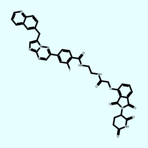 O=C(COc1cccc2c1C(=O)N(C1CCC(=O)NC1=O)C2=O)NCCNC(=O)c1ccc(-c2cnc3ncc(Cc4ccc5ncccc5c4)n3n2)cc1F